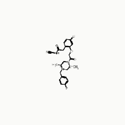 C[C@@H]1CN(Cc2ccc(F)cc2)[C@@H](C)CN1C(=O)COc1cc(Cl)ccc1CC(=O)NC#N